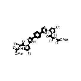 CC[C@H]1C[C@@H](c2ncc(-c3ccc(-c4cnc([C@@H]5C[C@H](CC)CN5C(=O)[C@@H](NC(=O)OC)C(C)C)[nH]4)cc3)[nH]2)N(C(=O)[C@@H](NC(=O)OC)C(C)C)C1